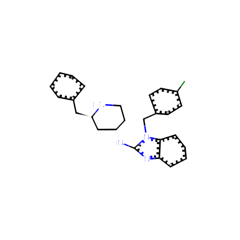 Fc1ccc(Cn2c(N[C@H]3CCN[C@H](Cc4ccccc4)C3)nc3ccccc32)cc1